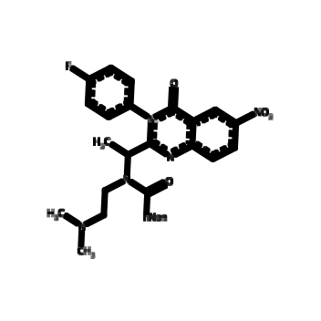 CCCCCCCCCC(=O)N(CCN(C)C)C(C)c1nc2ccc([N+](=O)[O-])cc2c(=O)n1-c1ccc(F)cc1